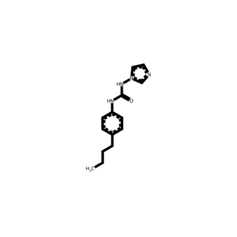 CCCCc1ccc(NC(=O)Nn2ccnc2)cc1